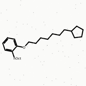 CCCCCCCCc1cc[c]cc1OCCCCCCCC1CCCC1